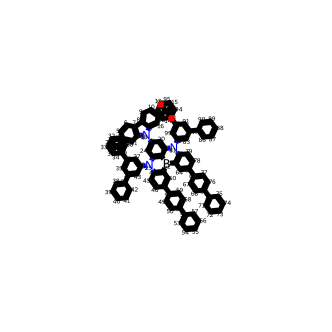 CC(C)(C)c1ccc2c3ccc(C(C)(C)C)cc3n(-c3cc4c5c(c3)N(c3cc(-c6ccccc6)cc(-c6ccccc6)c3)c3ccc(-c6ccc(-c7ccccc7)cc6)cc3B5c3cc(-c5ccc(-c6ccccc6)cc5)ccc3N4c3cc(-c4ccccc4)cc(-c4ccccc4)c3)c2c1